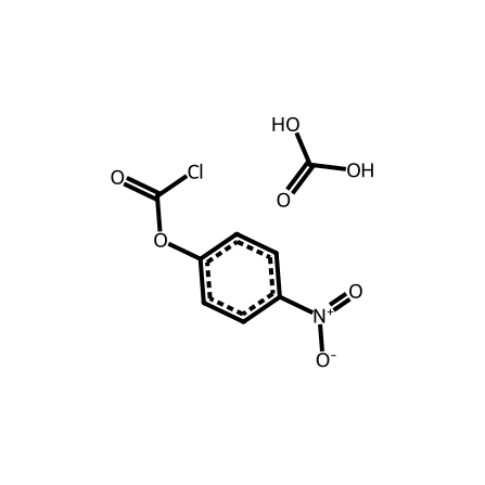 O=C(Cl)Oc1ccc([N+](=O)[O-])cc1.O=C(O)O